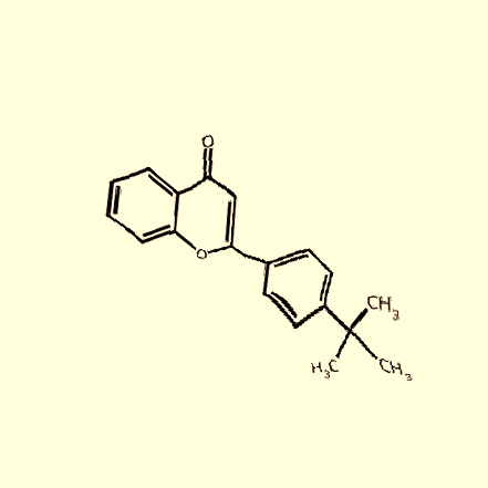 CC(C)(C)c1ccc(-c2cc(=O)c3ccccc3o2)cc1